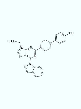 O=C(O)Cn1cnc2c(-n3nnc4ccccc43)nc(N3CCN(c4ccc(O)cc4)CC3)nc21